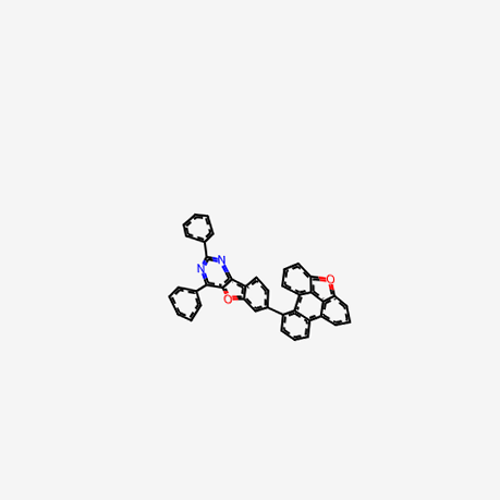 c1ccc(-c2nc(-c3ccccc3)c3oc4cc(-c5cccc6c7cccc8oc9cccc(c56)c9c87)ccc4c3n2)cc1